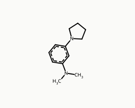 CN(C)c1cccc(N2CCCC2)c1